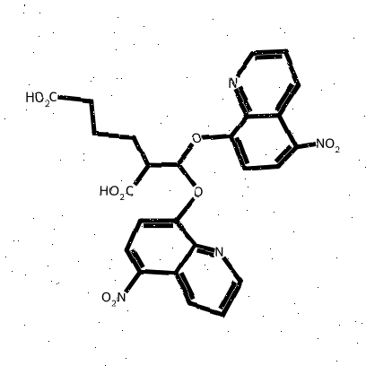 O=C(O)CCCC(C(=O)O)C(Oc1ccc([N+](=O)[O-])c2cccnc12)Oc1ccc([N+](=O)[O-])c2cccnc12